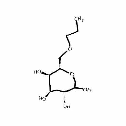 CCCOC[C@H]1OC(O)[C@H](O)[C@@H](O)[C@H]1O